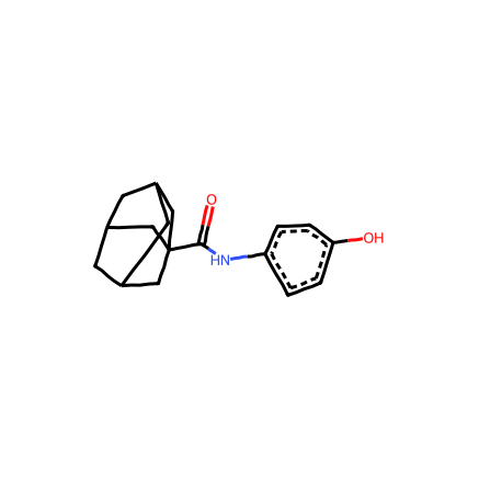 O=C(Nc1ccc(O)cc1)C12CC3CC(CC(C3)C1)C2